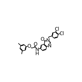 Cc1cc(C)cc(OCC(=O)Nc2ccc3ncn(Cc4ccc(Cl)c(Cl)c4)c(=O)c3c2)c1